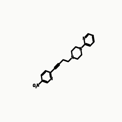 O=[N+]([O-])c1ccc(C#CCCN2CCN(c3ccccn3)CC2)nc1